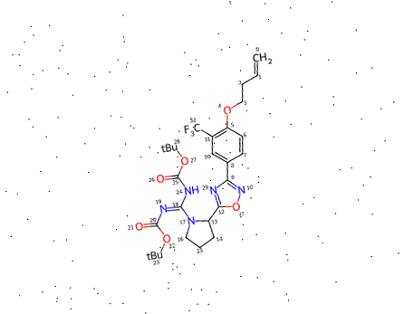 C=CCCOc1ccc(-c2noc(C3CCCN3C(=NC(=O)OC(C)(C)C)NC(=O)OC(C)(C)C)n2)cc1C(F)(F)F